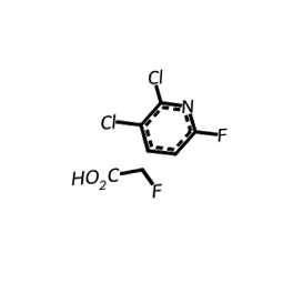 Fc1ccc(Cl)c(Cl)n1.O=C(O)CF